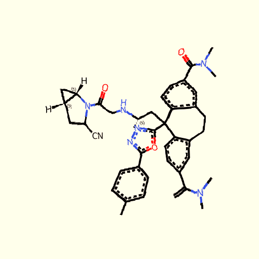 C=C(c1ccc2c(c1)CCc1cc(C(=O)N(C)C)ccc1C2(C[C@H](C)NCC(=O)N1C(C#N)C[C@@H]2C[C@@H]21)c1nnc(-c2ccc(C)cc2)o1)N(C)C